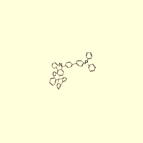 c1ccc(P(c2ccccc2)c2ccc(-c3ccc(-c4nc5ccccc5c5c6c(ccc45)C4(c5ccccc5O6)c5ccccc5-c5ccccc54)cc3)cc2)cc1